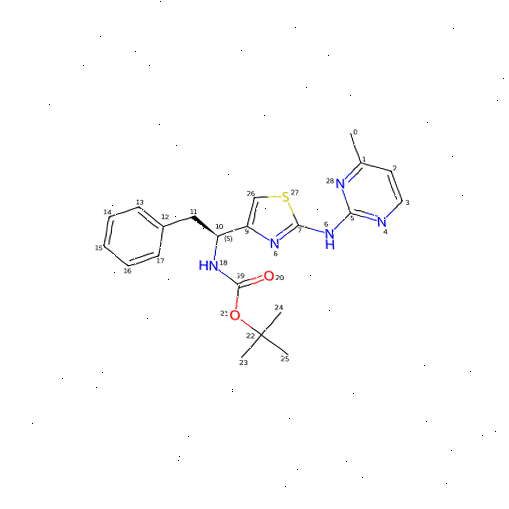 Cc1ccnc(Nc2nc([C@H](Cc3ccccc3)NC(=O)OC(C)(C)C)cs2)n1